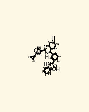 O=C(Nc1cccnc1O)c1cccc(C(NC(=O)c2cc(C3CC3)on2)C2CCNCC2)c1